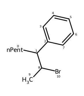 CCCCCC(c1ccccc1)C(C)Br